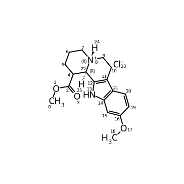 COC(=O)C1CCC[N@@H+]2CCc3c([nH]c4cc(OC)ccc34)[C@@H]12.[Cl-]